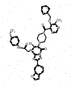 CCc1c(N2CCN(C(=O)c3ncnc(C)c3OCc3ccccc3)CC2)c(=O)n2nc(-c3ccc4ccoc4c3)nc2n1CC(=O)Nc1ccc(SC(F)(F)F)cc1